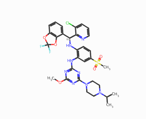 COc1nc(Nc2cc(S(C)(=O)=O)ccc2N[C@@H](c2cccc3c2OC(F)(F)O3)c2ncccc2Cl)nc(N2CCN(C(C)C)CC2)n1